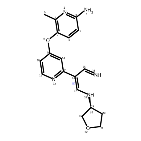 Cc1nc(N)ccc1Oc1ccnc(/C(C=N)=C/N[C@H]2CCOC2)c1